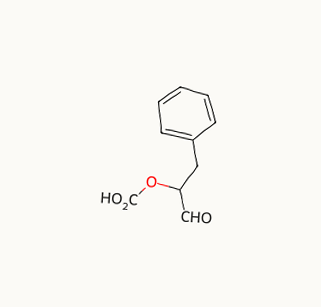 O=CC(Cc1ccccc1)OC(=O)O